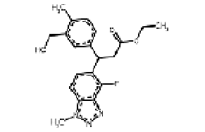 CCOC(=O)CC(c1ccc(C)c(CO)c1)c1ccc2c(nnn2C)c1F